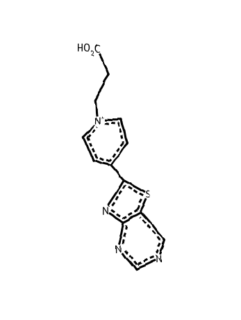 O=C(O)CC[n+]1ccc(-c2nc3ncncc3s2)cc1